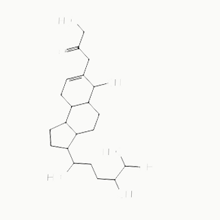 CCC(=O)CC1=CCC2C(CCC3C(C(C)CCC(C)C(C)C)CCC32)C1C